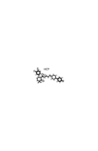 CC1(C)CC[C@@H](c2ccc(F)c(F)c2)N(C(=O)NCCCN2CCC(c3ccc(F)cc3)CC2)C1=O.Cl